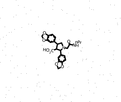 CCCNC(=O)CN1CC(c2ccc3c(c2)OCO3)C(C(=O)O)C1c1ccc2c(c1)OCO2